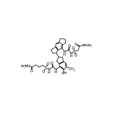 CCCc1c(C)cc2c(c1NC(=O)NS(=O)(=O)CCCC(=O)NC(C)=O)CC(C1CCc3cc4c(c(NC(=O)NS(=O)(=O)CC(=O)NC(C)=O)c31)CCC4)C2